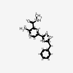 CNC(=O)c1nc(-c2noc(Cc3ccccc3)n2)cnc1N